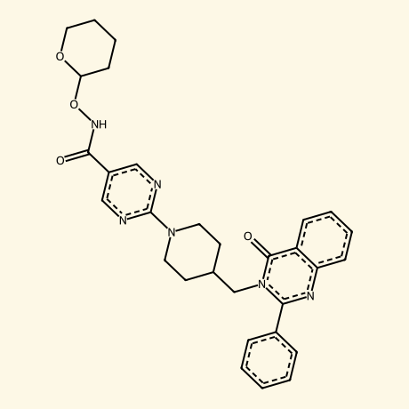 O=C(NOC1CCCCO1)c1cnc(N2CCC(Cn3c(-c4ccccc4)nc4ccccc4c3=O)CC2)nc1